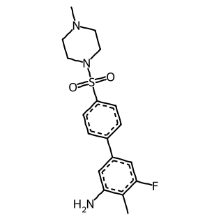 Cc1c(N)cc(-c2ccc(S(=O)(=O)N3CCN(C)CC3)cc2)cc1F